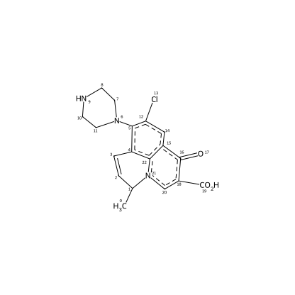 CC1C=Cc2c(N3CCNCC3)c(Cl)cc3c(=O)c(C(=O)O)cn1c23